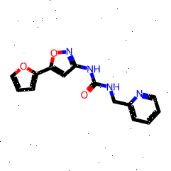 O=C(NCc1ccccn1)Nc1cc(-c2ccco2)on1